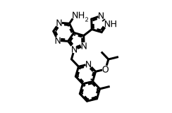 Cc1cccc2cc(Cn3nc(-c4cn[nH]c4)c4c(N)ncnc43)nc(OC(C)C)c12